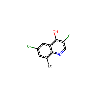 CCc1cc(Br)cc2c(O)c(Cl)cnc12